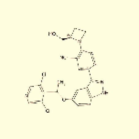 CC(Oc1ccc2[nH]nc(-c3cnc(N4CC[C@@H]4CO)c(C#N)c3)c2c1)c1c(Cl)cncc1Cl